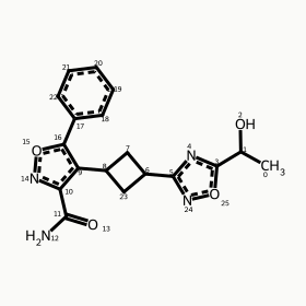 CC(O)c1nc(C2CC(c3c(C(N)=O)noc3-c3ccccc3)C2)no1